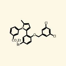 CCOC(=O)c1cccc(-n2c(C)ccc2-c2cc(Br)ccc2OCc2cc(Cl)cc(Cl)c2)c1